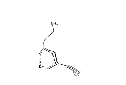 C#Cc1cccc(CCN)c1